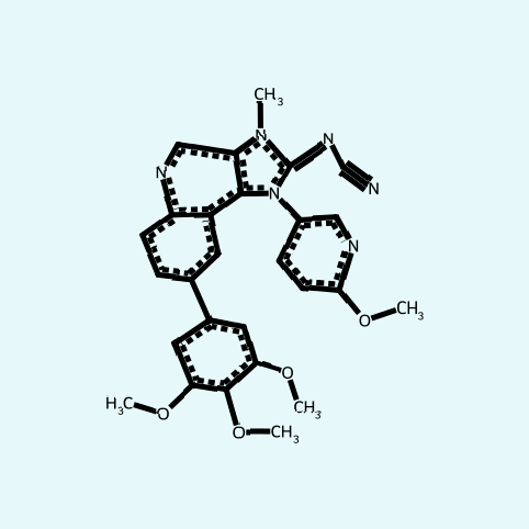 COc1ccc(-n2c(=NC#N)n(C)c3cnc4ccc(-c5cc(OC)c(OC)c(OC)c5)cc4c32)cn1